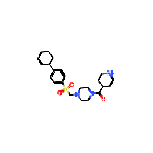 O=C(C1CCNCC1)N1CCN(CS(=O)(=O)c2ccc(C3CCCCC3)cc2)CC1